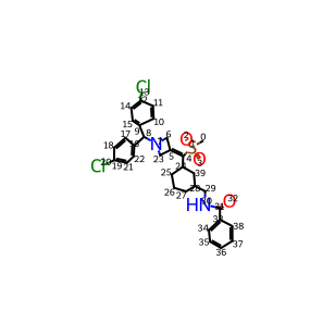 CS(=O)(=O)C(=C1CN(C(c2ccc(Cl)cc2)c2ccc(Cl)cc2)C1)C1CCCC(CNC(=O)c2ccccc2)C1